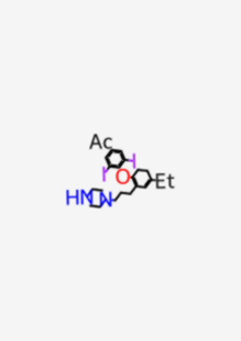 CCC1=CC(CCCN2CCNCC2)=C(Oc2c(I)cc(C(C)=O)cc2I)CC1